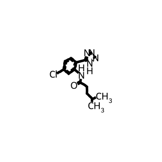 CC(C)CCC(=O)Nc1cc(Cl)ccc1-c1nnn[nH]1